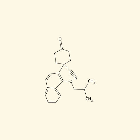 CC(C)COc1c(C2(C#N)CCC(=O)CC2)ccc2ccccc12